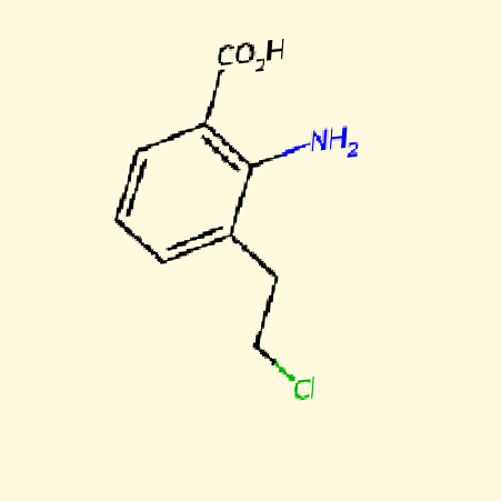 Nc1c(CCCl)cccc1C(=O)O